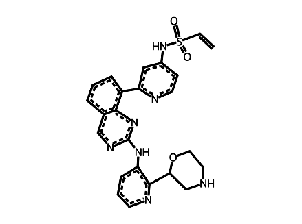 C=CS(=O)(=O)Nc1ccnc(-c2cccc3cnc(Nc4cccnc4C4CNCCO4)nc23)c1